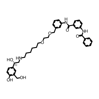 O=C(Nc1cccc(C(=O)Nc2cccc(COCCOCCCCCCNC[C@@H](O)c3ccc(O)c(CO)c3)c2)c1)c1ccccc1